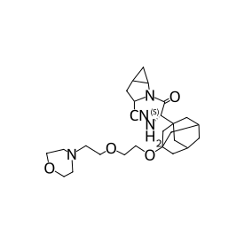 N#CC1CC2CC2N1C(=O)[C@@H](N)C12CC3CC(CC(OCCOCCN4CCOCC4)(C3)C1)C2